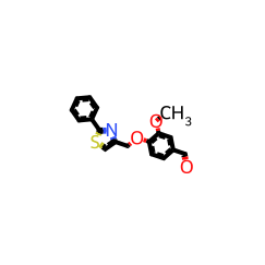 COc1cc(C=O)ccc1OCc1csc(-c2ccccc2)n1